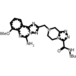 COc1cccc2c1nc(N)n1nc(CN3CCn4c(nnc4C(=O)NC(C)(C)C)C3)nc21